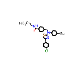 CCC(C)c1ccc(N(Cc2ccc(C(=O)NCCC(=O)O)cc2)c2nc(-c3ccc(Cl)cc3)cs2)cc1